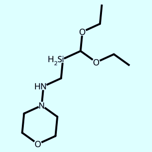 CCOC(OCC)[SiH2]CNN1CCOCC1